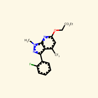 CCOC(=O)COc1cc(C(F)(F)F)c2c(-c3ccccc3F)nn(C)c2n1